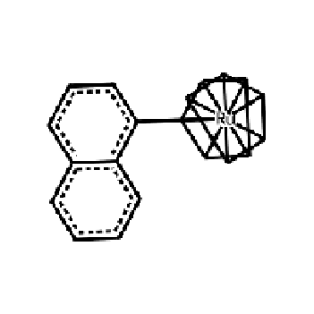 c1ccc2c([C]34[CH]5[CH]6[CH]7[CH]3[Ru]6754389%10[CH]4[CH]3[CH]8[CH]9[CH]4%10)cccc2c1